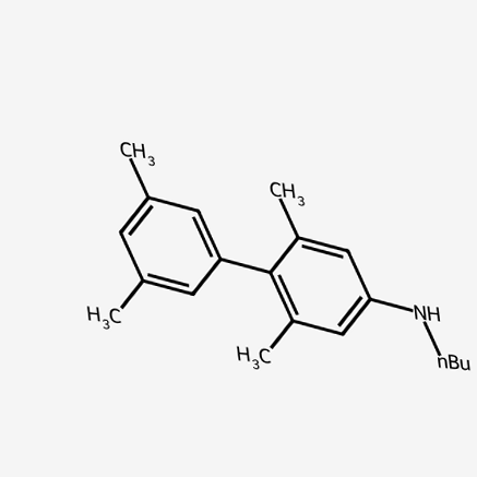 CCCCNc1cc(C)c(-c2cc(C)cc(C)c2)c(C)c1